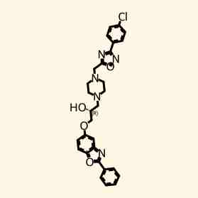 O[C@@H](COc1ccc2oc(-c3ccccc3)nc2c1)CN1CCN(Cc2nc(-c3ccc(Cl)cc3)no2)CC1